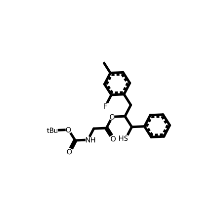 Cc1ccc(CC(OC(=O)CNC(=O)OC(C)(C)C)C(S)c2ccccc2)c(F)c1